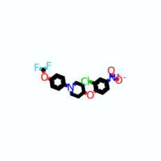 O=[N+]([O-])c1ccc(OC2CCN(c3ccc(OC(F)F)cc3)CC2)c(Cl)c1